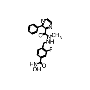 CN(NCc1ccc(C(=O)NO)cc1F)C(=O)c1nccnc1-c1ccccc1